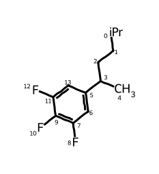 CC(C)CCC(C)c1cc(F)c(F)c(F)c1